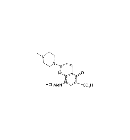 CNn1cc(C(=O)O)c(=O)c2ccc(N3CCN(C)CC3)nc21.Cl